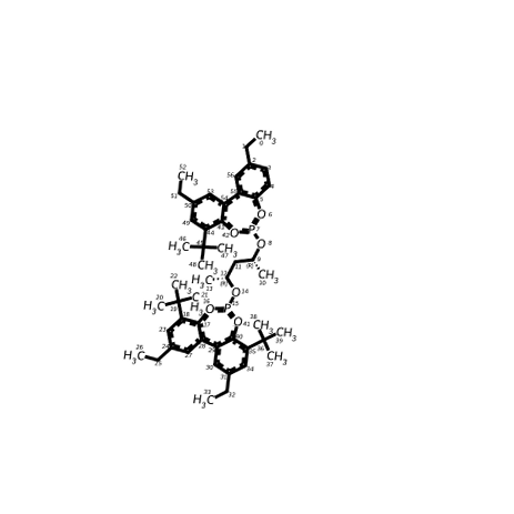 CCc1ccc2op(O[C@H](C)C[C@@H](C)Op3oc4c(C(C)(C)C)cc(CC)cc4c4cc(CC)cc(C(C)(C)C)c4o3)oc3c(C(C)(C)C)cc(CC)cc3c2c1